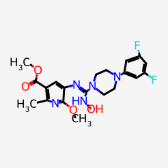 COC(=O)c1cc(N=C(NO)N2CCN(c3cc(F)cc(F)c3)CC2)c(OC)nc1C